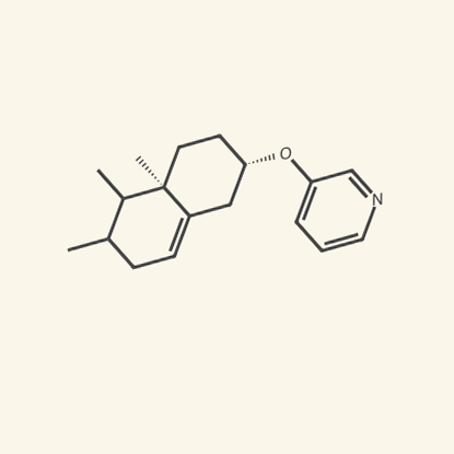 CC1CC=C2C[C@@H](Oc3cccnc3)CC[C@]2(C)C1C